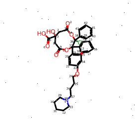 O=C1CC(O)(C(=O)O)CC(=O)OC(c2ccccc2)(c2ccc(OCCCCN3CCCCC3)cc2)C(Cl)(c2ccccc2)O1